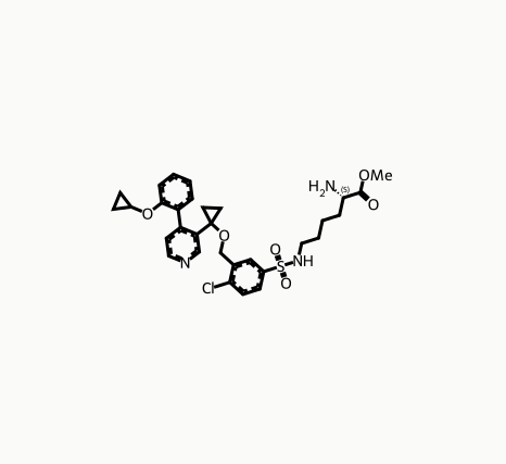 COC(=O)[C@@H](N)CCCCNS(=O)(=O)c1ccc(Cl)c(COC2(c3cnccc3-c3ccccc3OC3CC3)CC2)c1